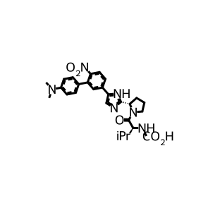 CC(C)[C@H](NC(=O)O)C(=O)N1CCC[C@H]1c1ncc(-c2ccc([N+](=O)[O-])c(-c3ccc(N(C)C)cc3)c2)[nH]1